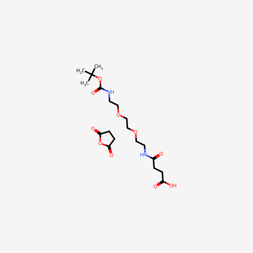 CC(C)(C)OC(=O)NCCOCCOCCNC(=O)CCC(=O)O.O=C1CCC(=O)O1